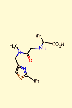 CC(C)c1nc(CN(C)C(=O)CN[C@H](C(=O)O)C(C)C)cs1